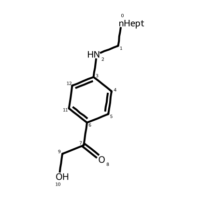 CCCCCCCCNc1ccc(C(=O)CO)cc1